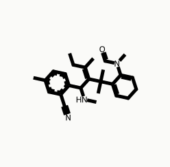 CC/C(C)=C(\C(NC)c1ccc(C)cc1C#N)C(C)(C)C1=CCCC=C1N(C)C=O